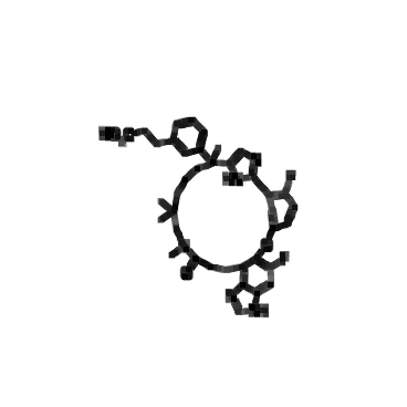 CN1CC(C)(C)CCCC(C)(c2cccc(CCC(=O)O)c2)c2cnc([nH]2)-c2cc(ccc2F)Oc2c(F)cc3[nH]cnc3c2CCC1=O